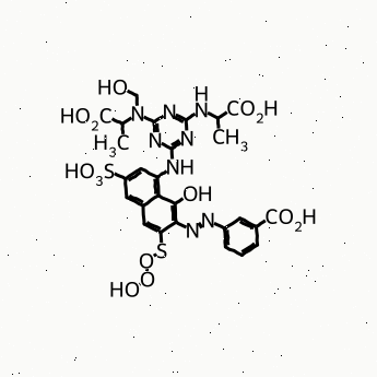 CC(Nc1nc(Nc2cc(S(=O)(=O)O)cc3cc(SOOO)c(N=Nc4cccc(C(=O)O)c4)c(O)c23)nc(N(CO)C(C)C(=O)O)n1)C(=O)O